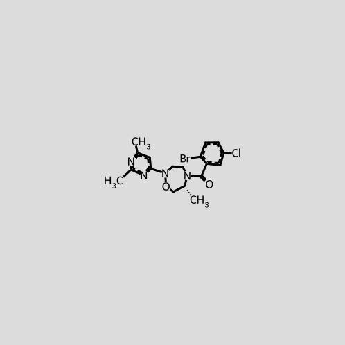 Cc1cc(N2CCN(C(=O)c3cc(Cl)ccc3Br)[C@H](C)CO2)nc(C)n1